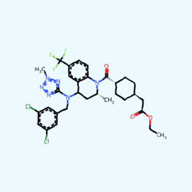 CCOC(=O)C[C@H]1CC[C@H](C(=O)N2c3ccc(C(F)(F)F)cc3C(N(Cc3cc(Cl)cc(Cl)c3)c3nnn(C)n3)C[C@H]2C)CC1